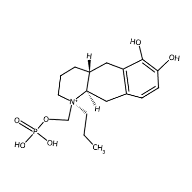 CCC[N@+]1(COP(=O)(O)O)CCC[C@@H]2Cc3c(ccc(O)c3O)C[C@H]21